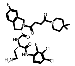 CC1(C)CCN(C(=O)CCC(=O)N2Cc3cc(F)ccc3C[C@H]2C(=O)N[C@@H](CCN)C(=O)Nc2ccc(Cl)c(Cl)c2F)CC1